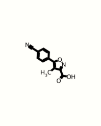 Cc1c(C(=O)O)noc1-c1ccc(C#N)cc1